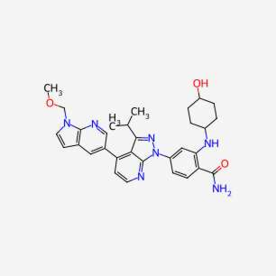 COCn1ccc2cc(-c3ccnc4c3c(C(C)C)nn4-c3ccc(C(N)=O)c(NC4CCC(O)CC4)c3)cnc21